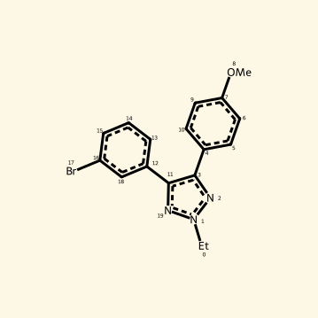 CCn1nc(-c2ccc(OC)cc2)c(-c2cccc(Br)c2)n1